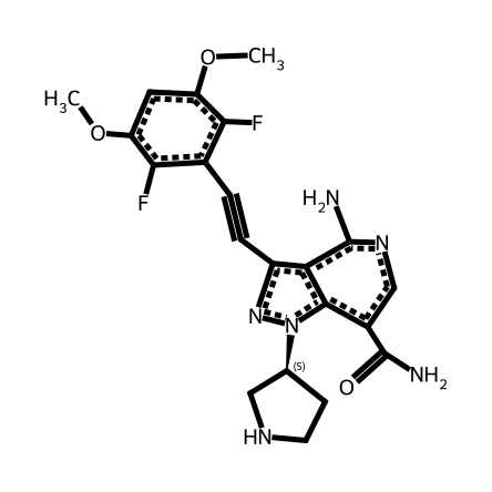 COc1cc(OC)c(F)c(C#Cc2nn([C@H]3CCNC3)c3c(C(N)=O)cnc(N)c23)c1F